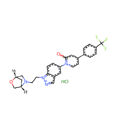 Cl.O=c1cc(-c2ccc(C(F)(F)F)cc2)ccn1-c1ccc2c(cnn2CCN2C[C@@H]3C[C@H]2CO3)c1